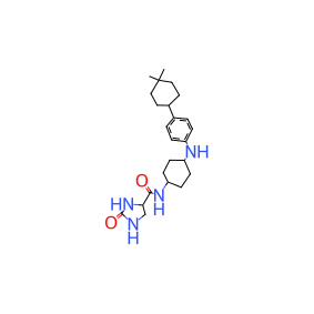 CC1(C)CCC(c2ccc(NC3CCC(NC(=O)C4CNC(=O)N4)CC3)cc2)CC1